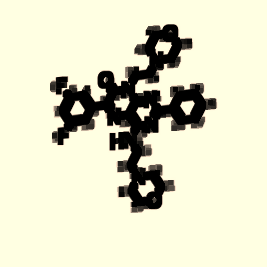 O=c1c(-c2cc(F)cc(F)c2)nc2c(NCCN3CCOCC3)nc(-c3ccccc3)nc2n1CCN1CCOCC1